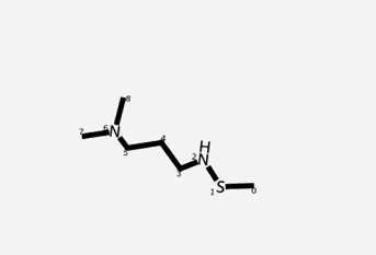 CSNCCCN(C)C